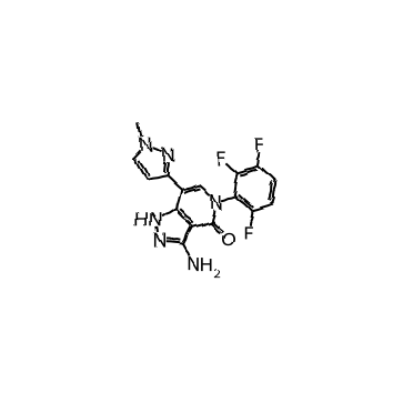 Cn1ccc(-c2cn(-c3c(F)ccc(F)c3F)c(=O)c3c(N)n[nH]c23)n1